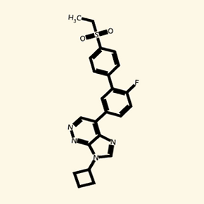 CCS(=O)(=O)c1ccc(-c2cc(-c3cnnc4c3ncn4C3CCC3)ccc2F)cc1